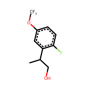 [CH2]C(CO)c1cc(OC(F)(F)F)ccc1F